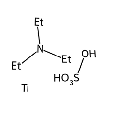 CCN(CC)CC.O=S(=O)(O)O.[Ti]